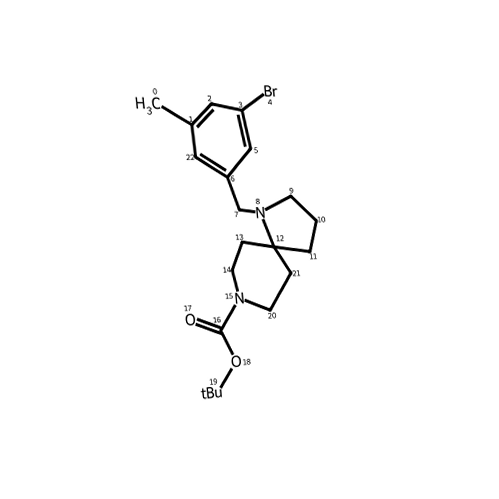 Cc1cc(Br)cc(CN2CCCC23CCN(C(=O)OC(C)(C)C)CC3)c1